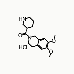 COc1cc2c(cc1OC)CN(C(=O)[C@@H]1CCCNC1)CC2.Cl